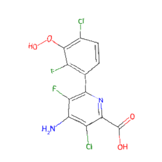 Nc1c(F)c(-c2ccc(Cl)c(OO)c2F)nc(C(=O)O)c1Cl